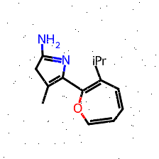 CC1=C(C2=C(C(C)C)C=CC=CO2)N=C(N)C1